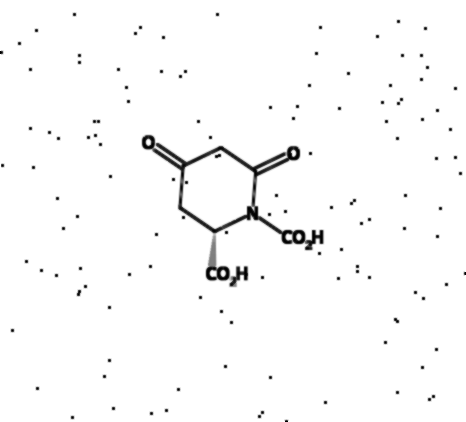 O=C1CC(=O)N(C(=O)O)[C@H](C(=O)O)C1